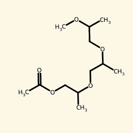 COC(C)COC(C)COC(C)COC(C)=O